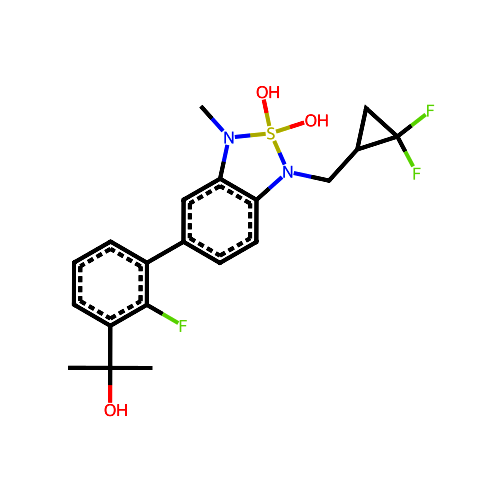 CN1c2cc(-c3cccc(C(C)(C)O)c3F)ccc2N(CC2CC2(F)F)S1(O)O